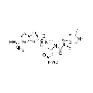 CNC(=O)CC1CN(S(=O)(=O)c2ccc3ccc(C(=N)N)cc3c2)CCN1C(=O)c1nc2c(s1)CNC(C)C2